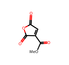 COC(=O)C1=CC(=O)OC1=O